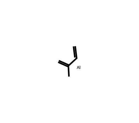 C=CC(=C)C.[Al]